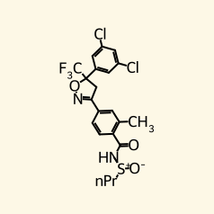 CCC[S+]([O-])NC(=O)c1ccc(C2=NOC(c3cc(Cl)cc(Cl)c3)(C(F)(F)F)C2)cc1C